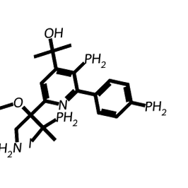 COC(CN)(c1cc(C(C)(C)O)c(P)c(-c2ccc(P)cc2)n1)C(C)(P)I